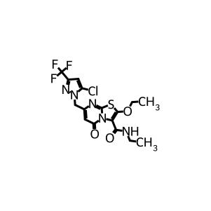 CCNC(=O)c1c(OCC)sc2nc(Cn3nc(C(F)(F)F)cc3Cl)cc(=O)n12